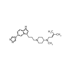 CC(C)=CCN(C)C1CCN(CCCc2c[nH]c3ccc(-n4cnnc4)cc23)CC1